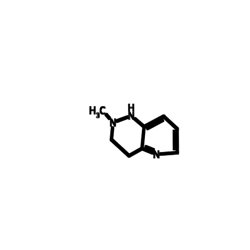 CN1CCc2ncccc2N1